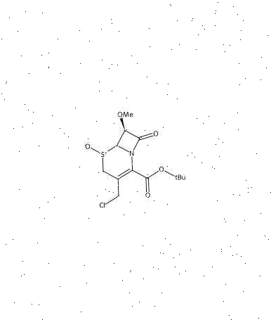 CO[C@H]1C(=O)N2C(C(=O)OC(C)(C)C)=C(CCl)C[S+]([O-])C12